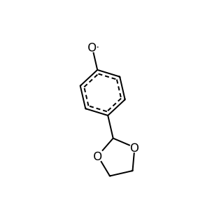 [O]c1ccc(C2OCCO2)cc1